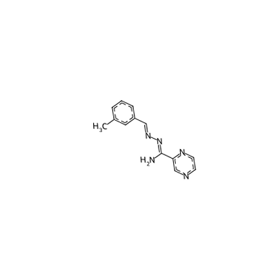 Cc1cccc(C=NN=C(N)c2cnccn2)c1